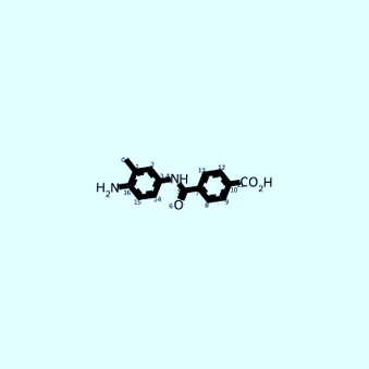 Cc1cc(NC(=O)c2ccc(C(=O)O)cc2)ccc1N